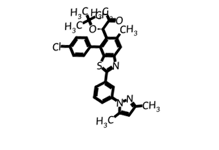 CC(=O)[C@@H](OC(C)(C)C)c1c(C)cc2nc(-c3cccc(-n4nc(C)cc4C)c3)sc2c1-c1ccc(Cl)cc1